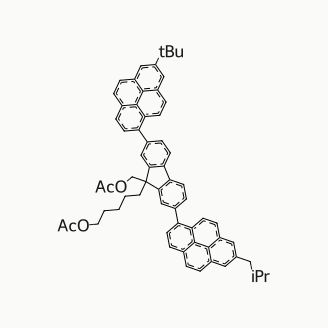 CC(=O)OCCCCCC1(COC(C)=O)c2cc(-c3ccc4ccc5cc(CC(C)C)cc6ccc3c4c56)ccc2-c2ccc(-c3ccc4ccc5cc(C(C)(C)C)cc6ccc3c4c56)cc21